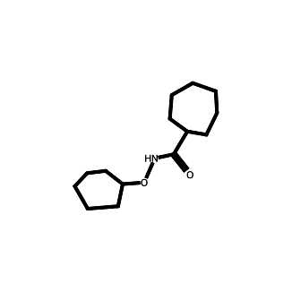 O=C(NOC1CCCCC1)C1CCCCCC1